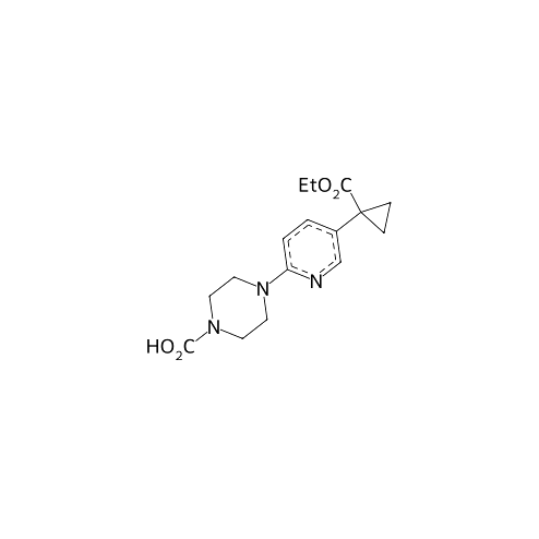 CCOC(=O)C1(c2ccc(N3CCN(C(=O)O)CC3)nc2)CC1